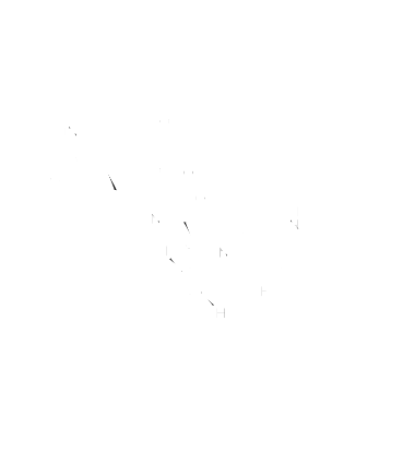 COc1cccc2[nH]c(C(=O)N3C[C@@H]4CCC[C@@H]4[C@H]3C(=O)NC(C[C@@H]3CCNC3=O)C(=O)CO)c(F)c12